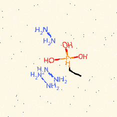 CC[PH](O)(O)O.NN.NN.NN